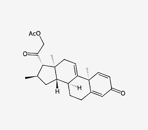 CC(=O)OCC(=O)[C@H]1[C@H](C)C[C@H]2[C@@H]3CCC4=CC(=O)C=C[C@]4(C)C3=CC[C@@]21C